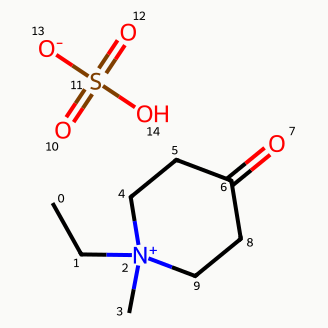 CC[N+]1(C)CCC(=O)CC1.O=S(=O)([O-])O